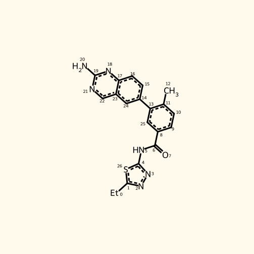 CCc1nnc(NC(=O)c2ccc(C)c(-c3ccc4nc(N)ncc4c3)c2)s1